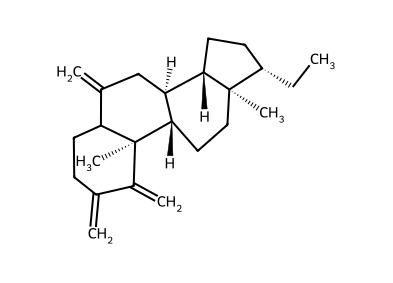 C=C1CCC2C(=C)C[C@H]3[C@@H]4CC[C@H](CC)[C@@]4(C)CC[C@@H]3[C@@]2(C)C1=C